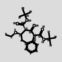 CCO[C@@H]1Cc2ccccc2N(C(=O)OC(C)(C)C)C(=O)[C@H]1C(=O)OC(C)(C)C